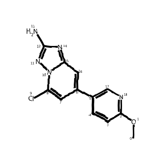 COc1ccc(-c2cc(Cl)n3nc(N)nc3c2)cn1